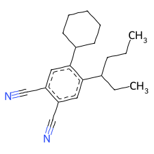 CCCC(CC)c1cc(C#N)c(C#N)cc1C1CCCCC1